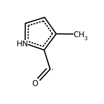 Cc1cc[nH]c1[C]=O